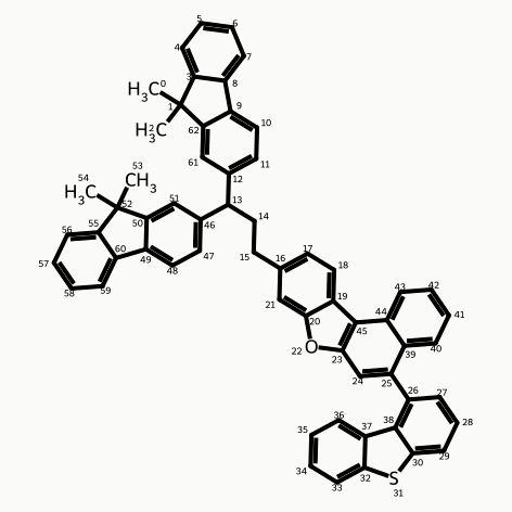 CC1(C)c2ccccc2-c2ccc(C(CCc3ccc4c(c3)oc3cc(-c5cccc6sc7ccccc7c56)c5ccccc5c34)c3ccc4c(c3)C(C)(C)c3ccccc3-4)cc21